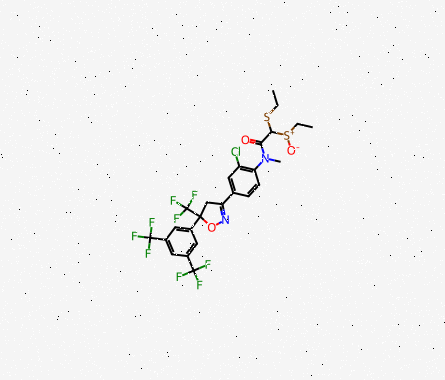 CCSC(C(=O)N(C)c1ccc(C2=NOC(c3cc(C(F)(F)F)cc(C(F)(F)F)c3)(C(F)(F)F)C2)cc1Cl)[S+]([O-])CC